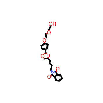 O=C1c2ccccc2C(=O)N1CCCCC1COC(c2ccc(OCCOCCO)cc2)O1